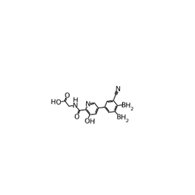 Bc1cc(-c2cnc(C(=O)NCC(=O)O)c(O)c2)cc(C#N)c1B